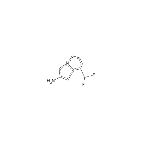 Nc1cc2c(C(F)F)cccn2c1